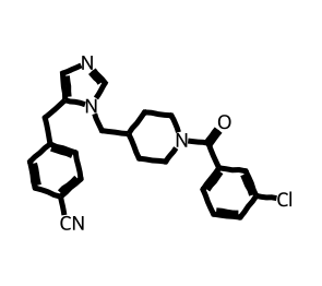 N#Cc1ccc(Cc2cncn2CC2CCN(C(=O)c3cccc(Cl)c3)CC2)cc1